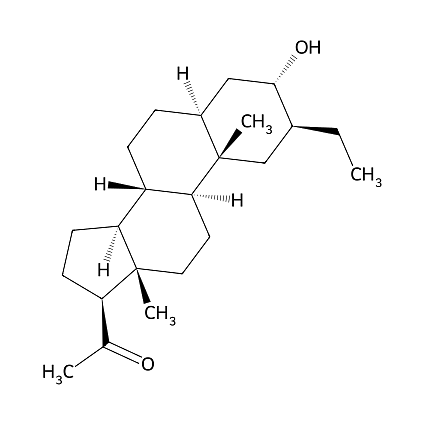 CC[C@H]1C[C@@]2(C)[C@@H](CC[C@@H]3[C@@H]2CC[C@]2(C)[C@@H](C(C)=O)CC[C@@H]32)C[C@@H]1O